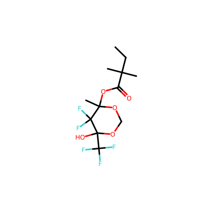 CCC(C)(C)C(=O)OC1(C)OCOC(O)(C(F)(F)F)C1(F)F